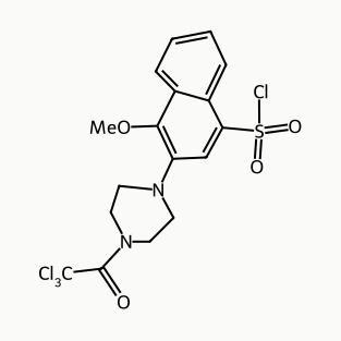 COc1c(N2CCN(C(=O)C(Cl)(Cl)Cl)CC2)cc(S(=O)(=O)Cl)c2ccccc12